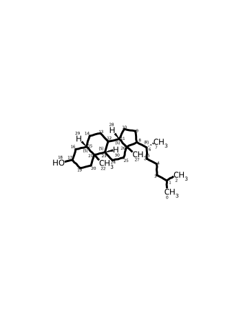 CC(C)CCC[C@@H](C)C1CC[C@H]2C3CC[C@H]4CC(O)CCC4(C)[C@H]3CCC12C